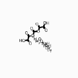 O.O.O=C(OC(=O)C(=O)O)OC(=O)C(=O)O.[Dy].[Dy].[NaH].[NaH]